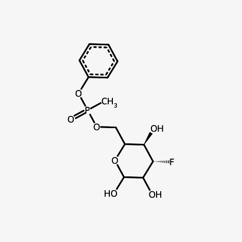 CP(=O)(OCC1OC(O)C(O)[C@@H](F)[C@@H]1O)Oc1ccccc1